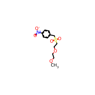 COCCOCCS(=O)(=O)Cc1ccc([N+](=O)[O-])cc1